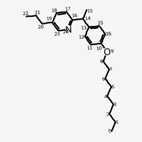 CCCCCCCCCOc1ccc(C(C)c2ccc(CCC)cn2)cc1